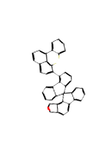 c1ccc2c(c1)Sc1c(-c3cccc4c3-c3ccccc3C43c4ccccc4-c4ccc5ccccc5c43)ccc3cccc-2c13